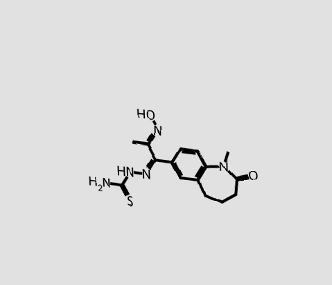 CC(=NO)C(=NNC(N)=S)c1ccc2c(c1)CCCC(=O)N2C